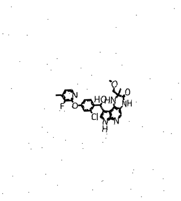 COCC1(C)Nc2c(cnc3[nH]cc(C(O)c4ccc(Oc5nccc(C)c5F)cc4Cl)c23)NC1=O